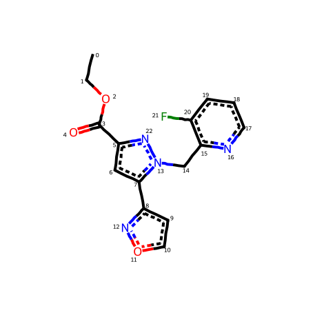 CCOC(=O)c1cc(-c2ccon2)n(Cc2ncccc2F)n1